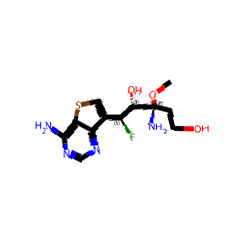 CO[C@](N)(CCO)[C@@H](O)[C@@H](F)c1csc2c(N)ncnc12